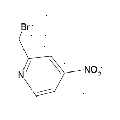 O=[N+]([O-])c1ccnc(CBr)c1